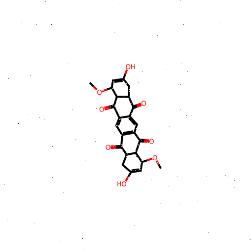 COC1C=C(O)CC2C(=O)c3cc4c(cc3C(=O)C12)C(=O)C1CC(O)=CC(OC)C1C4=O